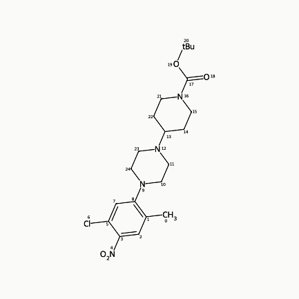 Cc1cc([N+](=O)[O-])c(Cl)cc1N1CCN(C2CCN(C(=O)OC(C)(C)C)CC2)CC1